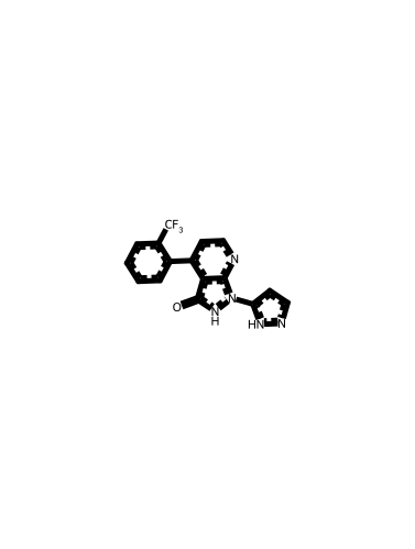 O=c1[nH]n(-c2ccn[nH]2)c2nccc(-c3ccccc3C(F)(F)F)c12